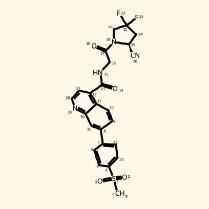 CS(=O)(=O)c1ccc(-c2ccc3c(C(=O)NCC(=O)N4CC(F)(F)C[C@H]4C#N)ccnc3c2)cc1